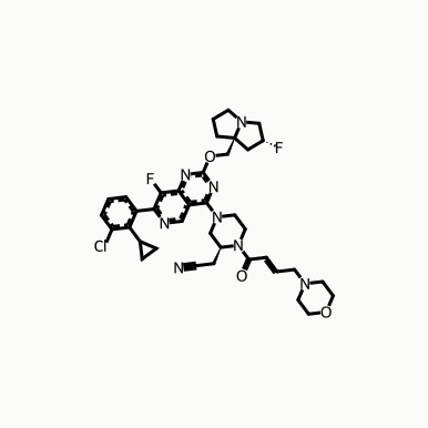 N#CC[C@H]1CN(c2nc(OC[C@@]34CCCN3C[C@H](F)C4)nc3c(F)c(-c4cccc(Cl)c4C4CC4)ncc23)CCN1C(=O)/C=C/CN1CCOCC1